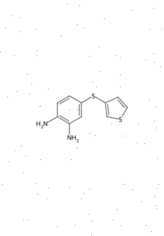 Nc1ccc(Sc2ccsc2)cc1N